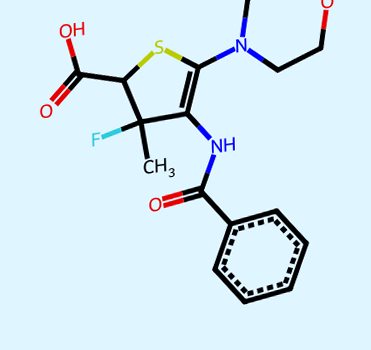 CC1(F)C(NC(=O)c2ccccc2)=C(N2CCOCC2)SC1C(=O)O